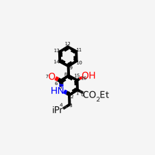 CCOC(=O)c1c(CC(C)C)[nH]c(=O)c(-c2ccccc2)c1O